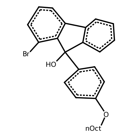 CCCCCCCCOc1ccc(C2(O)c3ccccc3-c3cccc(Br)c32)cc1